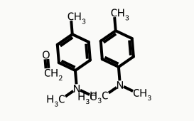 C=O.Cc1ccc(N(C)C)cc1.Cc1ccc(N(C)C)cc1